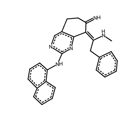 CN/C(Cc1ccccc1)=C1\C(=N)CCc2cnc(Nc3cccc4ccccc34)nc21